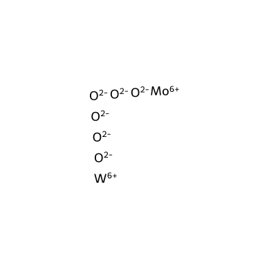 [Mo+6].[O-2].[O-2].[O-2].[O-2].[O-2].[O-2].[W+6]